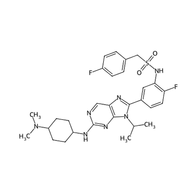 CC(C)n1c(-c2ccc(F)c(NS(=O)(=O)Cc3ccc(F)cc3)c2)nc2cnc(NC3CCC(N(C)C)CC3)nc21